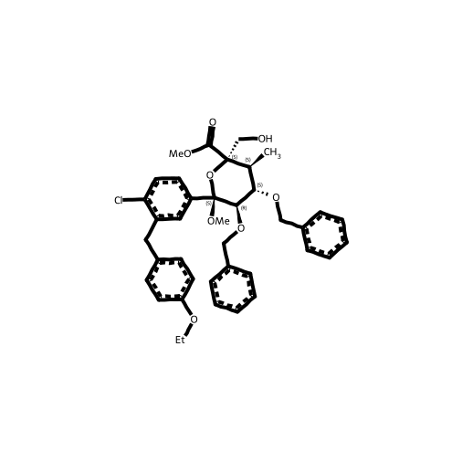 CCOc1ccc(Cc2cc([C@]3(OC)O[C@@](CO)(C(=O)OC)[C@@H](C)[C@H](OCc4ccccc4)[C@H]3OCc3ccccc3)ccc2Cl)cc1